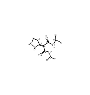 CC(C)OC(=O)C(C(=O)OC(C)C)=C1CCSS1